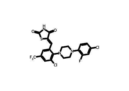 O=C1NC(=O)C(=Cc2cc(C(F)(F)F)cc(Cl)c2N2CCN(c3ccc(Cl)cc3F)CC2)S1